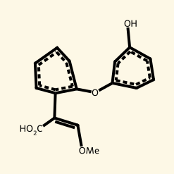 COC=C(C(=O)O)c1ccccc1Oc1cccc(O)c1